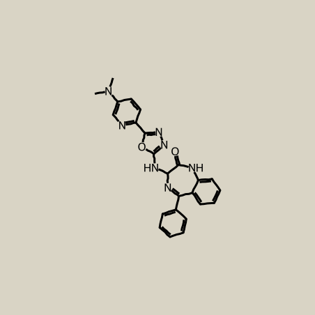 CN(C)c1ccc(-c2nnc(NC3N=C(c4ccccc4)c4ccccc4NC3=O)o2)nc1